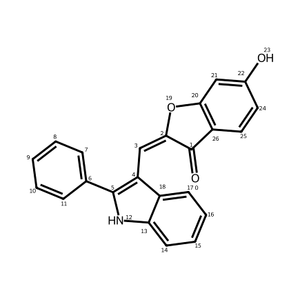 O=C1C(=Cc2c(-c3ccccc3)[nH]c3ccccc23)Oc2cc(O)ccc21